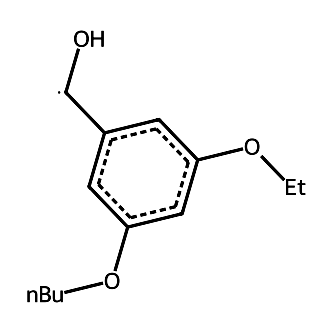 CCCCOc1cc([CH]O)cc(OCC)c1